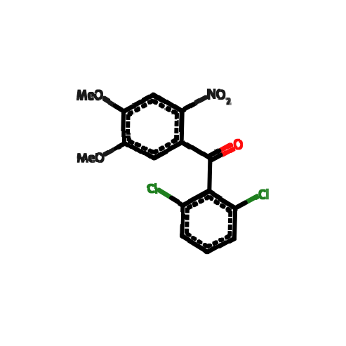 COc1cc(C(=O)c2c(Cl)cccc2Cl)c([N+](=O)[O-])cc1OC